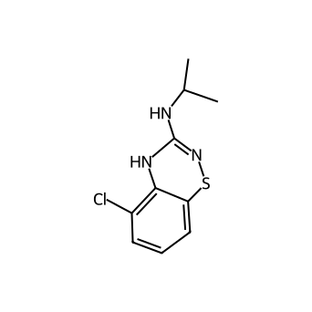 CC(C)NC1=NSc2cccc(Cl)c2N1